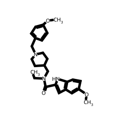 CCN(CC1CCN(Cc2ccc(OC)cc2)CC1)C(=O)c1cc2cc(OC)ccc2[nH]1